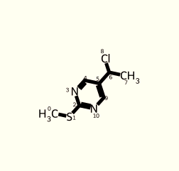 CSc1ncc(C(C)Cl)cn1